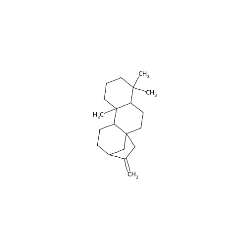 C=C1CC23CCC4C(C)(C)CCCC4(C)C2CCC1C3